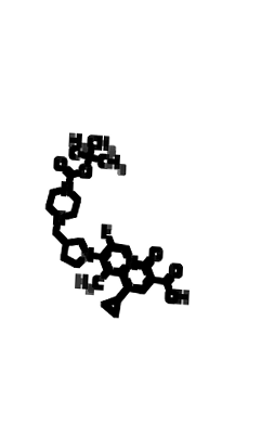 Cc1c(N2CCC(CN3CCN(C(=O)OC(C)(C)C)CC3)C2)c(F)cn2c(=O)c(C(=O)O)cc(C3CC3)c12